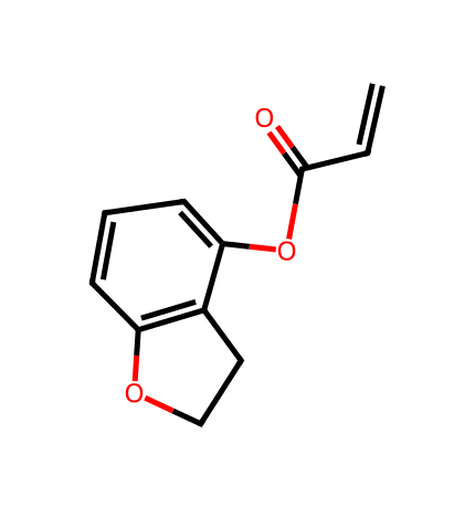 C=CC(=O)Oc1cccc2c1CCO2